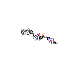 COc1ccc(CC[C@H](CNC(=O)[C@@H]2CCCN(C(=O)CCC3CCN(C(=O)OC(C)(C)C)CC3)C2)C(=O)O)cc1OC